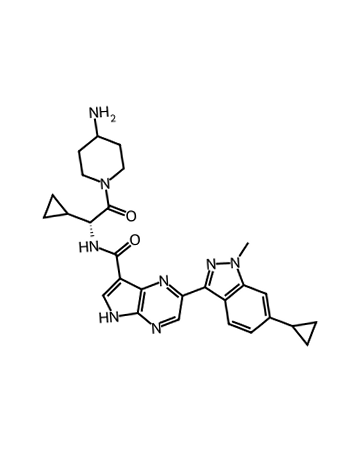 Cn1nc(-c2cnc3[nH]cc(C(=O)N[C@@H](C(=O)N4CCC(N)CC4)C4CC4)c3n2)c2ccc(C3CC3)cc21